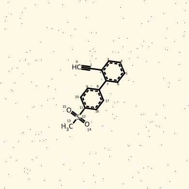 C#Cc1ccccc1-c1ccc(S(C)(=O)=O)cc1